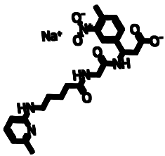 Cc1cccc(NCCCCC(=O)NCC(=O)NC(CC(=O)[O-])c2ccc(C)c([N+](=O)[O-])c2)n1.[Na+]